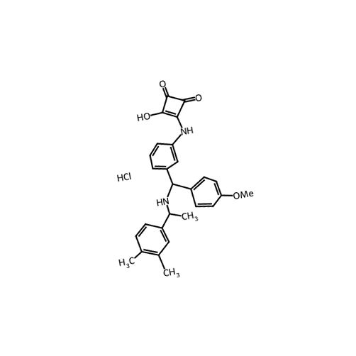 COc1ccc(C(NC(C)c2ccc(C)c(C)c2)c2cccc(Nc3c(O)c(=O)c3=O)c2)cc1.Cl